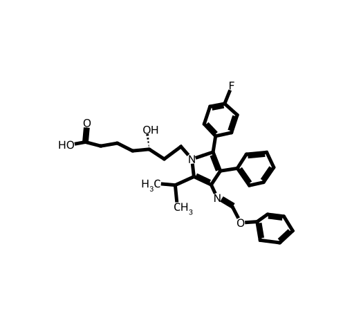 CC(C)c1c(N=COc2ccccc2)c(-c2ccccc2)c(-c2ccc(F)cc2)n1CC[C@@H](O)CCCC(=O)O